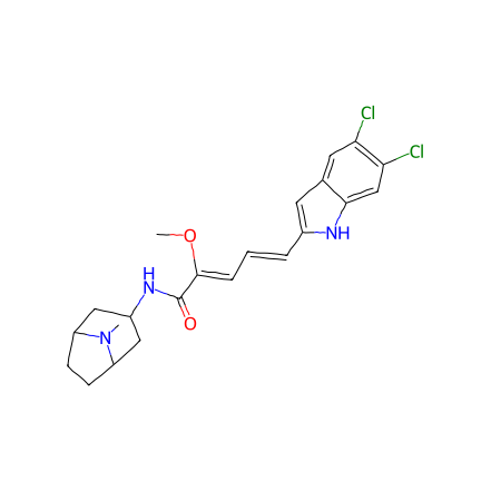 CO/C(=C\C=C\c1cc2cc(Cl)c(Cl)cc2[nH]1)C(=O)NC1CC2CCC(C1)N2C